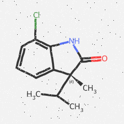 CC(C)[C@@]1(C)C(=O)Nc2c(Cl)cccc21